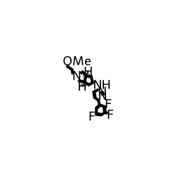 COCCCN1C[C@H]2CC(Nc3ccc(-c4cc(F)cc(F)c4F)nn3)C[C@H]2C1